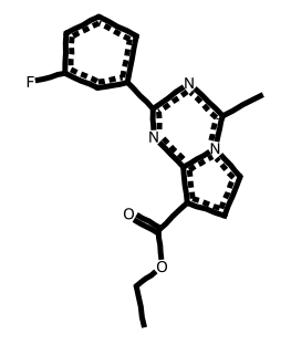 CCOC(=O)c1ccn2c(C)nc(-c3cccc(F)c3)nc12